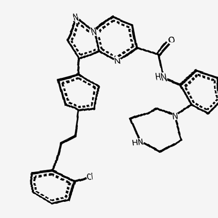 O=C(Nc1ccccc1N1CCNCC1)c1ccn2ncc(-c3ccc(CCc4ccccc4Cl)cc3)c2n1